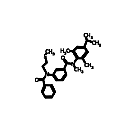 CSCCN(C(=O)c1ccccc1)c1cccc(C(=O)N(C)c2c(C)cc(C(C)C)cc2C)c1